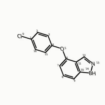 Clc1ccc(Oc2cccc3c2C=NB3)cc1